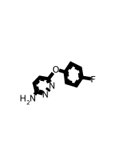 Nc1ccc(Oc2ccc(F)cc2)nn1